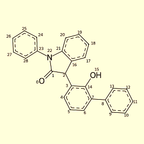 O=C1C(c2cccc(-c3ccccc3)c2O)c2ccccc2N1c1ccccc1